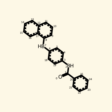 O=C(Bc1ccc(Bc2cccc3ccccc23)cc1)c1ccccc1